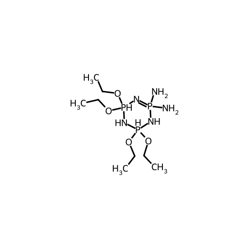 CCO[PH]1(OCC)N=P(N)(N)N[PH](OCC)(OCC)N1